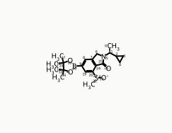 C[C@@H](C1CC1)N1Cc2cc(B3OC(C)(C)C(C)(C)O3)cc([S@@+](C)[O-])c2C1=O